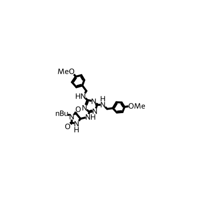 CCCCN1C(=O)NC(Nc2nc(NCc3ccc(OC)cc3)nc(NCc3ccc(OC)cc3)n2)C1=O